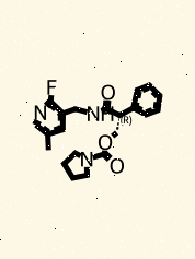 Cc1cnc(F)c(CNC(=O)[C@@H](COC(=O)N2CCCC2)c2ccccc2)c1